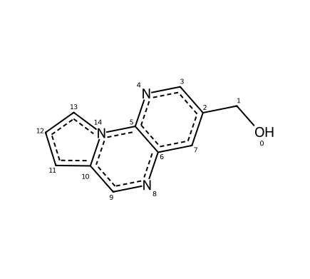 OCc1cnc2c(c1)ncc1cccn12